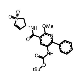 COc1nc(-c2ccccc2)c(NC(=O)OC(C)(C)C)cc1C(=O)N[C@@H]1C=CS(=O)(=O)C1